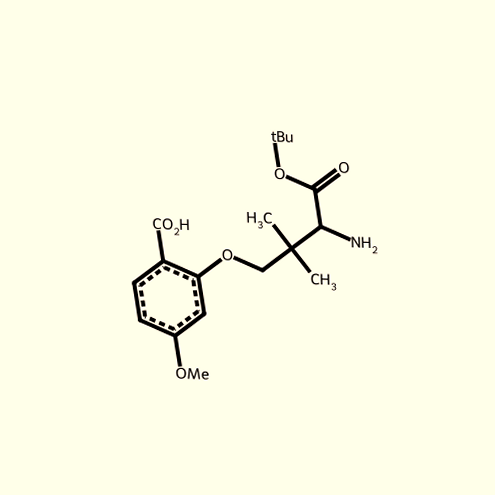 COc1ccc(C(=O)O)c(OCC(C)(C)C(N)C(=O)OC(C)(C)C)c1